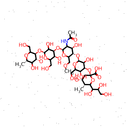 COCC1O[C@@H](O[C@@H]2C(O)[C@H](O[C@@H]3C(CO)O[C@@H](C)C(O)[C@H]3O)OC(CO)[C@@H]2O)C(NC(C)=O)[C@@H](O)[C@@H]1O[C@@H]1OC(CO)[C@H](O)[C@H](O[C@]2(C(=O)O)C[C@@H](O)[C@@H](C)C(C(O)C(O)CO)O2)C1O